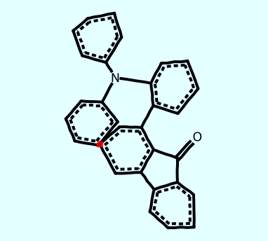 O=C1c2ccccc2-c2cccc(-c3ccccc3N(c3ccccc3)c3ccccc3)c21